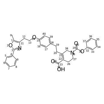 Cc1oc(-c2ccccc2)nc1CCOc1ccc(CCC2=C(C(=O)O)CCN(C(=O)Oc3ccccc3)C2)cc1